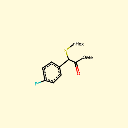 CCCCCCSC(C(=O)OC)c1ccc(F)cc1